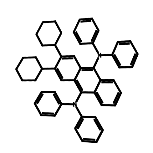 c1ccc(N(c2ccccc2)c2c3ccccc3c(N(c3ccccc3)c3ccccc3)c3cc(C4CCCCC4)c(C4CCCCC4)cc23)cc1